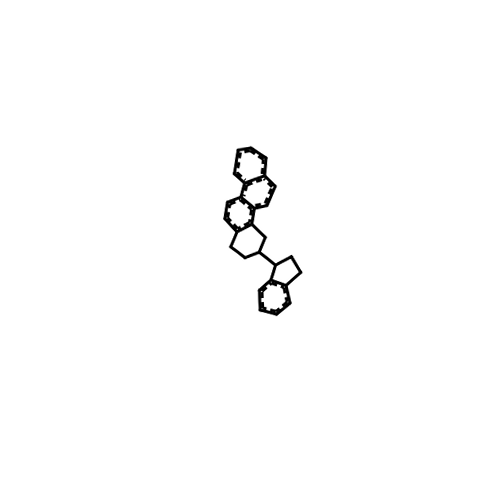 c1ccc2c(c1)CCC2C1CCc2ccc3c(ccc4ccccc43)c2C1